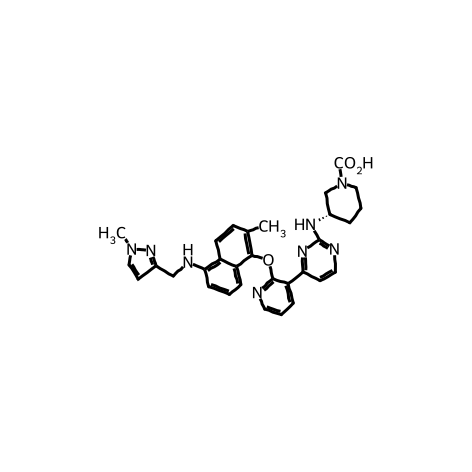 Cc1ccc2c(NCc3ccn(C)n3)cccc2c1Oc1ncccc1-c1ccnc(N[C@H]2CCCN(C(=O)O)C2)n1